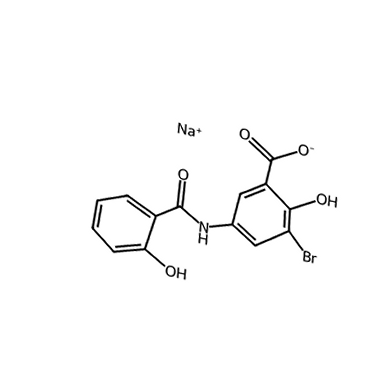 O=C(Nc1cc(Br)c(O)c(C(=O)[O-])c1)c1ccccc1O.[Na+]